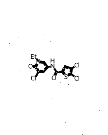 CCn1cc(NC(=O)c2cc(Cl)c(Cl)s2)cc(Cl)c1=O